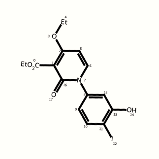 CCOC(=O)c1c(OCC)ccn(-c2ccc(I)c(O)c2)c1=O